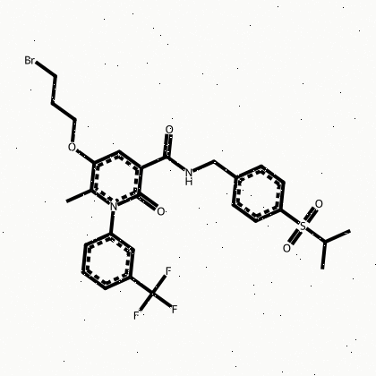 Cc1c(OCCCBr)cc(C(=O)NCc2ccc(S(=O)(=O)C(C)C)cc2)c(=O)n1-c1cccc(C(F)(F)F)c1